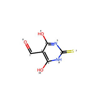 O=Cc1c(O)nc(=S)[nH]c1O